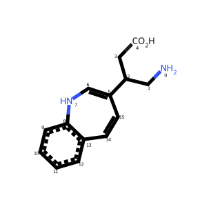 NCC(CC(=O)O)C1=CNc2ccccc2C=C1